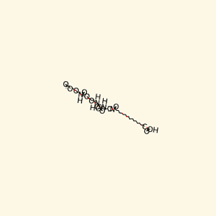 O=[C]COCCOCCNC(=O)COCCOCCNC(=O)C[C@@H](NCC1CCN(C(=O)CCCCCCCCCCCCCCCCCCC(=O)O)CC1)C(=O)O